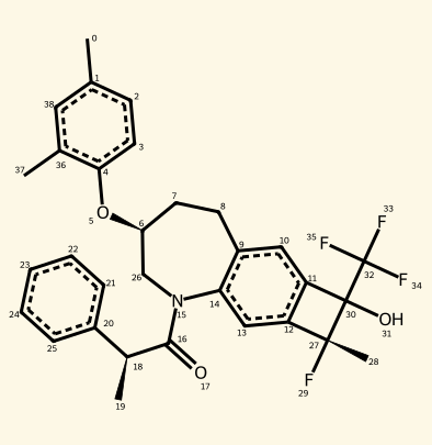 Cc1ccc(O[C@H]2CCc3cc4c(cc3N(C(=O)[C@@H](C)c3ccccc3)C2)[C@@](C)(F)C4(O)C(F)(F)F)c(C)c1